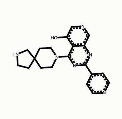 Oc1cncc2nc(-c3ccncc3)nc(N3CCC4(CCNC4)CC3)c12